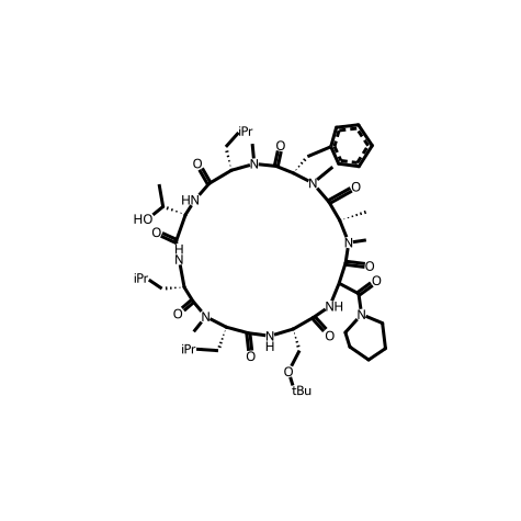 CC(C)C[C@@H]1NC(=O)[C@H](C(C)O)NC(=O)[C@H](CC(C)C)N(C)C(=O)[C@H](Cc2ccccc2)N(C)C(=O)[C@H](C)N(C)C(=O)C(C(=O)N2CCCCC2)NC(=O)[C@H](COC(C)(C)C)NC(=O)[C@H](CC(C)C)N(C)C1=O